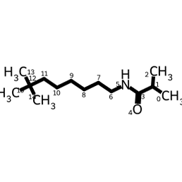 CC(C)C(=O)NCCCCCCC(C)(C)C